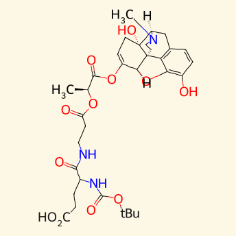 C[C@H](OC(=O)CCNC(=O)C(CCC(=O)O)NC(=O)OC(C)(C)C)C(=O)OC1=CC[C@@]2(O)[C@H]3Cc4ccc(O)c5c4[C@@]2(CCN3C)[C@H]1O5